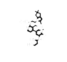 Cc1cc2c(n1CCN(C=O)c1nccc(-c3cc(NC(=N)/C=C\O)c(=O)n(C)c3)c1CO)CC(C)(C)C2